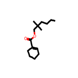 CCCCC(C)(C)COC(=O)C1=CCCCC1